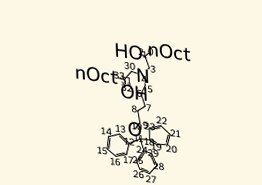 CCCCCCCCC(O)CN(CCCCCOC(c1ccccc1)(c1ccccc1)c1ccccc1)CC(O)CCCCCCCC